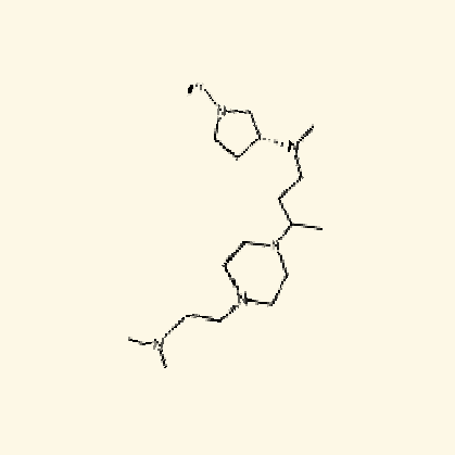 CC(C)N1CC[C@@H](N(C)CCC(C)N2CCN(CCN(C)C)CC2)C1